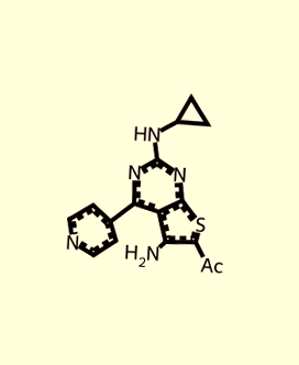 CC(=O)c1sc2nc(NC3CC3)nc(-c3ccncc3)c2c1N